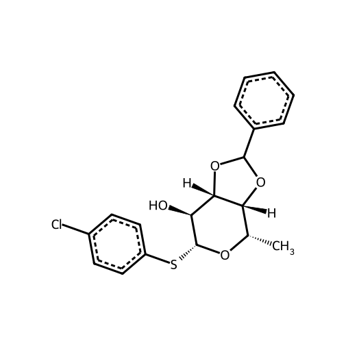 C[C@@H]1O[C@H](Sc2ccc(Cl)cc2)[C@@H](O)[C@@H]2OC(c3ccccc3)O[C@@H]21